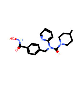 CC1CCN(C(=O)N(Cc2ccc(C(=O)NO)cc2)c2ccccn2)CC1